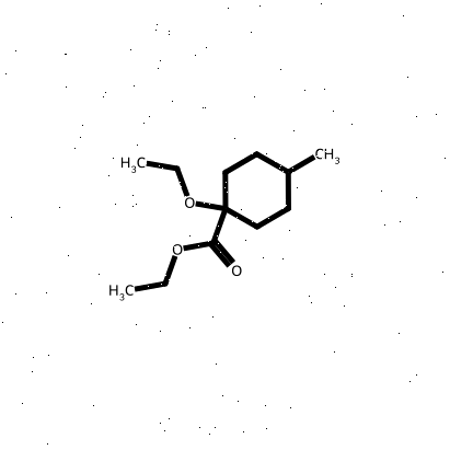 CCOC(=O)C1(OCC)CCC(C)CC1